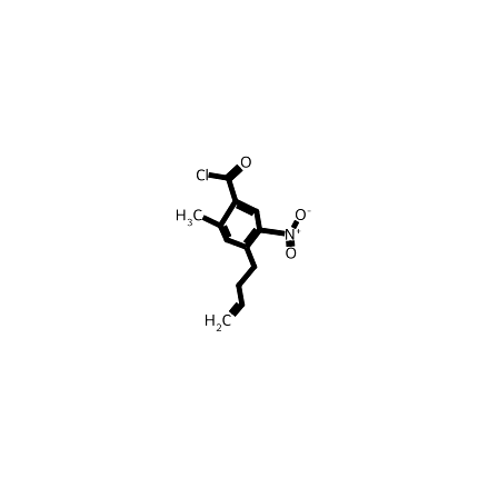 C=CCCc1cc(C)c(C(=O)Cl)cc1[N+](=O)[O-]